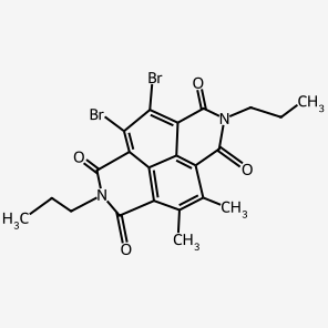 CCCN1C(=O)c2c(C)c(C)c3c4c(c(Br)c(Br)c(c24)C1=O)C(=O)N(CCC)C3=O